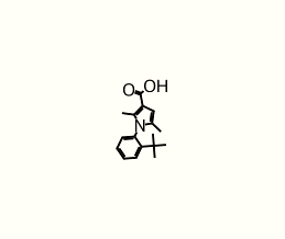 Cc1cc(C(=O)O)c(C)n1-c1ccccc1C(C)(C)C